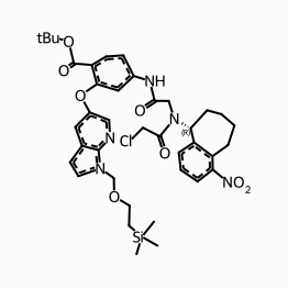 CC(C)(C)OC(=O)c1ccc(NC(=O)CN(C(=O)CCl)[C@@H]2CCCCc3c2cccc3[N+](=O)[O-])cc1Oc1cnc2c(ccn2COCC[Si](C)(C)C)c1